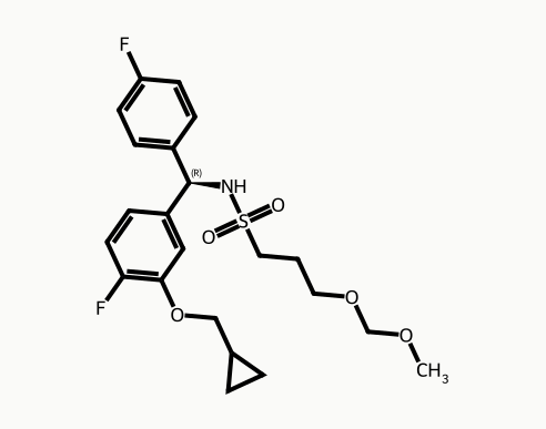 COCOCCCS(=O)(=O)N[C@H](c1ccc(F)cc1)c1ccc(F)c(OCC2CC2)c1